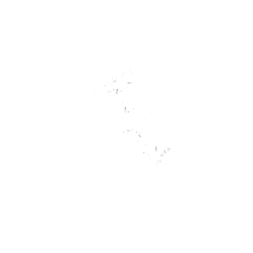 CC(C(=O)N[C@@H](CCN1CCC2(CC1)CCN(Cc1ccc(S(C)(=O)=O)cc1)C2=O)c1ccccc1)C1CCCC1